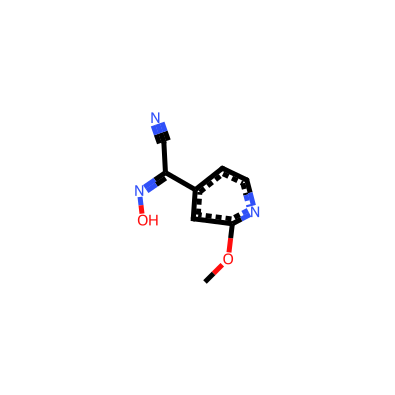 COc1cc(/C(C#N)=N\O)ccn1